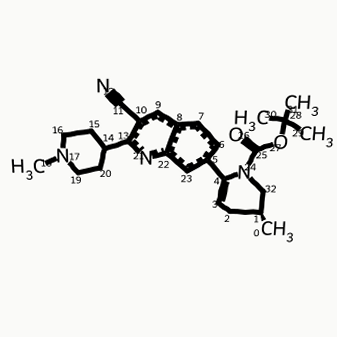 C[C@H]1CC=C(c2ccc3cc(C#N)c(C4CCN(C)CC4)nc3c2)N(C(=O)OC(C)(C)C)C1